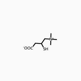 C[N+](C)(C)CC(S)CC(=O)[O-]